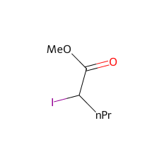 CCCC(I)C(=O)OC